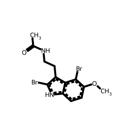 COc1ccc2[nH]c(Br)c(CCNC(C)=O)c2c1Br